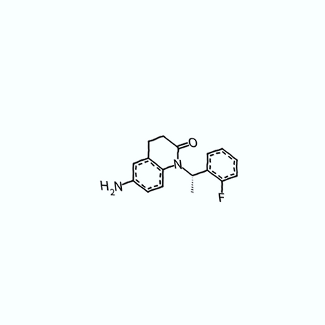 C[C@@H](c1ccccc1F)N1C(=O)CCc2cc(N)ccc21